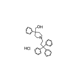 Cl.OCC1(c2ccccc2)CCN(CCC(c2ccccc2)(c2ccccc2)c2ccccc2)CC1